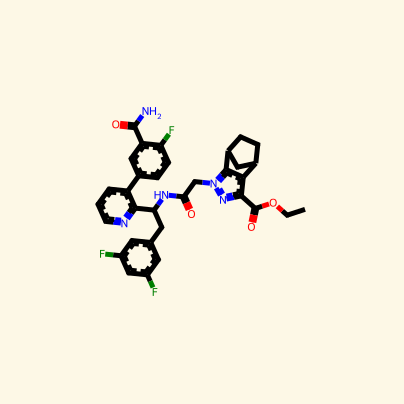 CCOC(=O)c1nn(CC(=O)NC(Cc2cc(F)cc(F)c2)c2ncccc2-c2ccc(F)c(C(N)=O)c2)c2c1C1CCC2C1